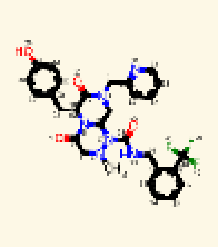 CN1CC(=O)N2C(CN(Cc3ccccn3)C(=O)[C@@H]2Cc2ccc(O)cc2)N1C(=O)NCc1ccccc1C(F)(F)F